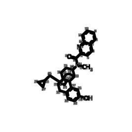 CN(C(=O)c1ccc2ccccc2n1)C1CCC23CCC1C21CCN(CC2CC2)C3Cc2ccc(O)cc21